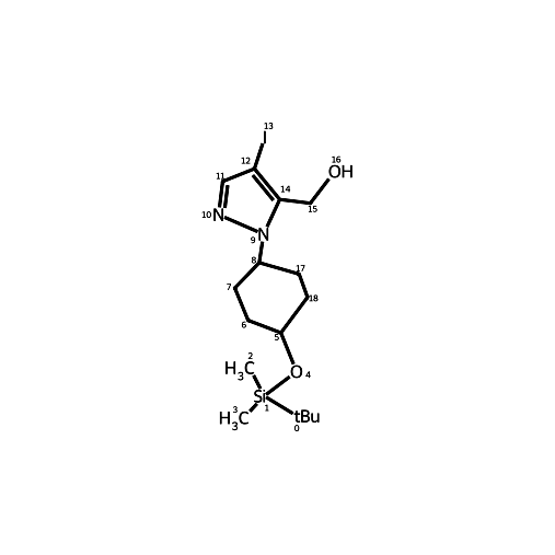 CC(C)(C)[Si](C)(C)OC1CCC(n2ncc(I)c2CO)CC1